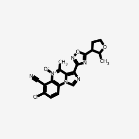 Cc1c2c(-c3noc(C4CCOC4C)n3)ncn2c2ccc(Cl)c(C#N)c2[n+]1[O-]